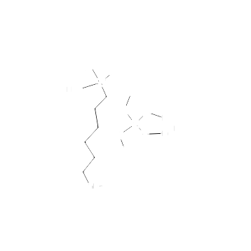 CCCCCCCCCCCCCCCC[N+](C)(C)C.CCO[Si](OCC)(OCC)OCC.[Br-]